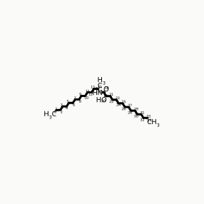 CCCCCCCCCCCCCCC(C)NC(=O)C(O)CCCCCCCCCCCCCC